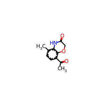 CC(=O)c1ccc(C)c2c1OCC(=O)N2